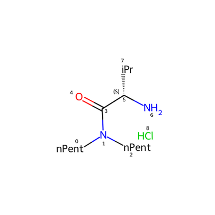 CCCCCN(CCCCC)C(=O)[C@@H](N)C(C)C.Cl